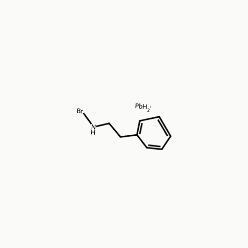 BrNCCc1ccccc1.[PbH2]